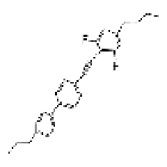 CCCCc1cc(F)c(C#Cc2ccc(-c3ccc(CCC)cc3)cc2)c(F)c1